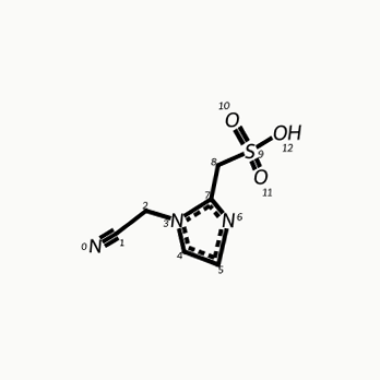 N#CCn1ccnc1CS(=O)(=O)O